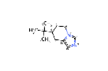 CC(C)(C)C1CCn2cncc2C1